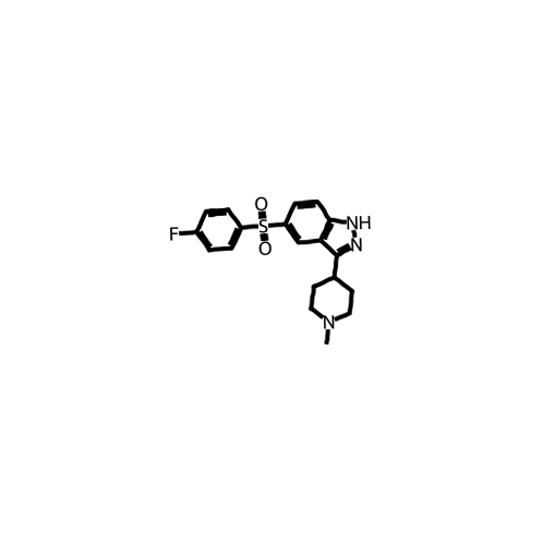 CN1CCC(c2n[nH]c3ccc(S(=O)(=O)c4ccc(F)cc4)cc23)CC1